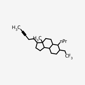 CC#CCCC1CCC2C3CCC(CC(F)(F)F)C(CCC)C3CCC12C